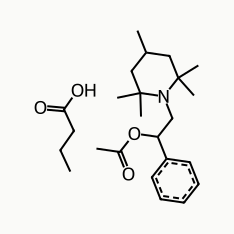 CC(=O)OC(CN1C(C)(C)CC(C)CC1(C)C)c1ccccc1.CCCC(=O)O